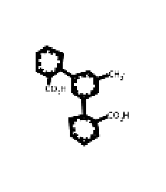 [CH2]c1cc(-c2ccccc2C(=O)O)cc(-c2ccccc2C(=O)O)c1